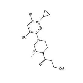 C[C@@H]1CN(c2nc(C3CC3)c(Br)cc2C#N)CCN1C(=O)CCO